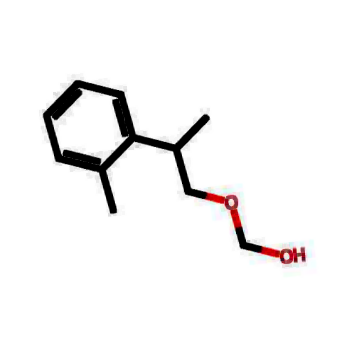 Cc1ccccc1C(C)COCO